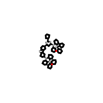 c1ccc(-c2nc(-c3ccc4sc5ccc(N6c7ccccc7[Si](c7ccccc7)(c7ccccc7)c7ccccc76)cc5c4c3)cc(N3c4ccccc4[Si](c4ccccc4)(c4ccccc4)c4ccccc43)n2)cc1